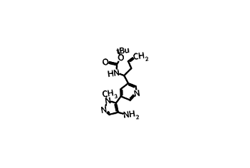 C=CCC(NC(=O)OC(C)(C)C)c1cncc(-c2c(N)cnn2C)c1